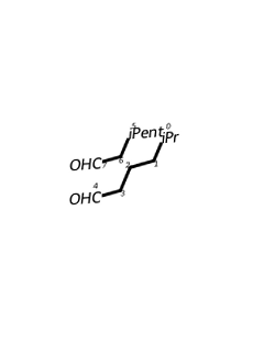 CC(C)CCCC=O.CCCC(C)CC=O